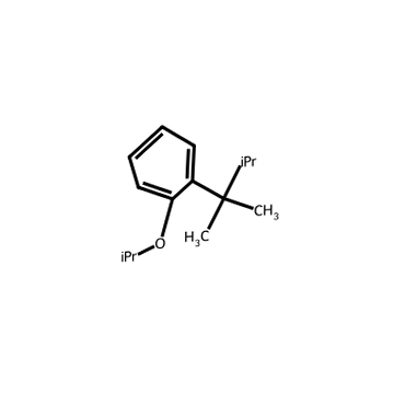 CC(C)Oc1ccccc1C(C)(C)C(C)C